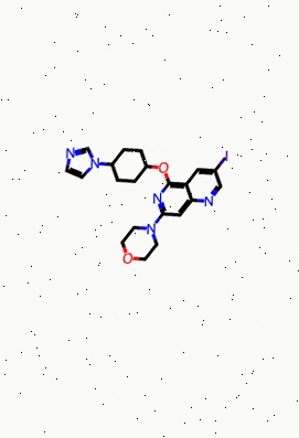 Ic1cnc2cc(N3CCOCC3)nc(OC3CCC(n4ccnc4)CC3)c2c1